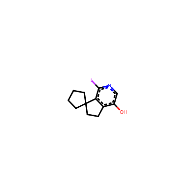 Oc1cnc(I)c2c1CCC21CCCC1